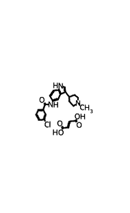 CN1CCC(c2c[nH]c3ccc(NC(=O)c4cccc(Cl)c4)cc23)CC1.O=C(O)C=CC(=O)O